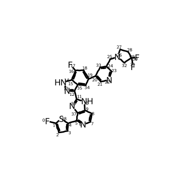 Fc1ccc(-c2nccc3[nH]c(-c4n[nH]c5c(F)cc(-c6cncc(CN7CCC(F)(F)C7)c6)cc45)nc23)s1